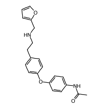 CC(=O)Nc1ccc(Oc2ccc(CCNCc3ccco3)cc2)cc1